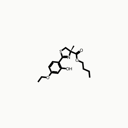 CCCCOC(=O)[C@@]1(C)CSC(c2ccc(OCC)cc2O)=N1